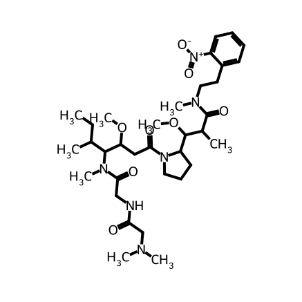 CCC(C)C(C(CC(=O)N1CCCC1C(OC)C(C)C(=O)N(C)CCc1ccccc1[N+](=O)[O-])OC)N(C)C(=O)CNC(=O)CN(C)C